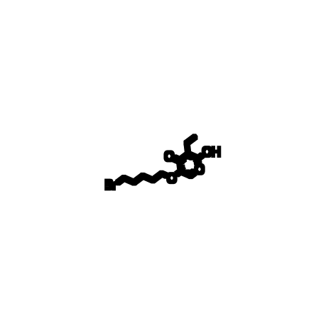 CCc1c(O)occ(OCCCCCBr)c1=O